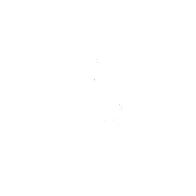 O=c1[nH]c2ncc(-c3cnc4[nH]ccc4c3)cc2n1C1CCOCC1